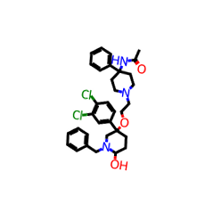 CC(=O)NC1(c2ccccc2)CCN(CCOC2(c3ccc(Cl)c(Cl)c3)CCC(O)N(Cc3ccccc3)C2)CC1